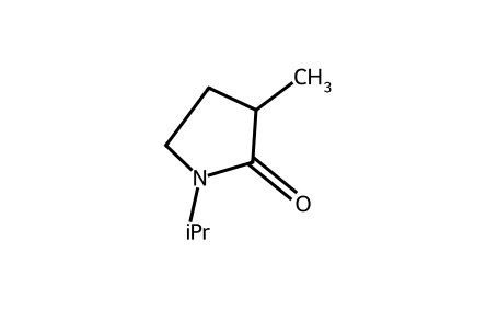 CC1CCN(C(C)C)C1=O